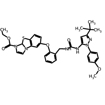 CCOC(=O)N1C=CN2c3cc(Oc4ccccc4CNC(=O)Nc4cc(C(C)(C)C)nn4-c4ccc(OC)cc4)ccc3SC12